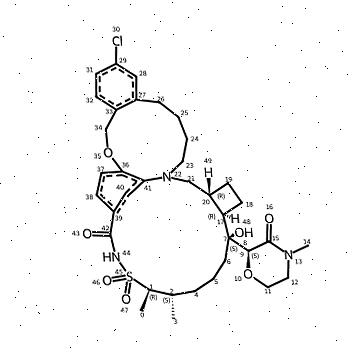 C[C@@H]1[C@@H](C)CCC[C@@](O)([C@@H]2OCCN(C)C2=O)[C@@H]2CC[C@H]2CN2CCCCc3cc(Cl)ccc3COc3ccc(cc32)C(=O)NS1(=O)=O